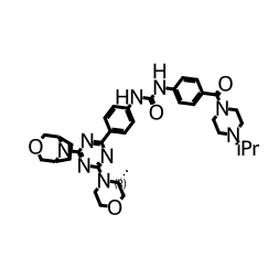 CC(C)N1CCN(C(=O)c2ccc(NC(=O)Nc3ccc(-c4nc(N5C6CCC5COC6)nc(N5CCOC[C@H]5C)n4)cc3)cc2)CC1